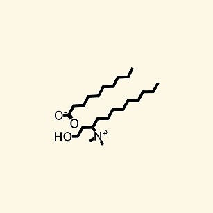 CCCCCCCCCC(=O)[O-].CCCCCCCCCC(CCO)[N+](C)(C)C